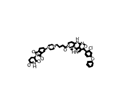 C=Nc1[nH]cc(C(=O)c2ccc(Oc3ccccc3)cc2Cl)c1/C(=N\C)NC1CCN(C(=O)CCCN2CCN(c3ccc4c(c3)C(=O)N(C3CCC(=O)NC3=O)C4=O)CC2)CC1